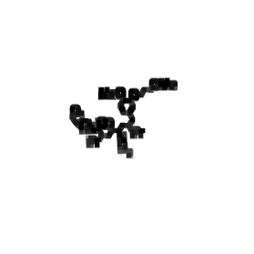 COCCCOc1cc(CC(CC(N)C(O)CC(C(=O)NCC23COCC2C3)C(C)C)C(C)C)ccc1OC